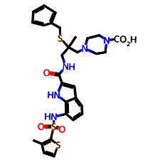 Cc1ccsc1S(=O)(=O)Nc1cccc2cc(C(=O)NCC(C)(CN3CCN(C(=O)O)CC3)SCc3ccccc3)[nH]c12